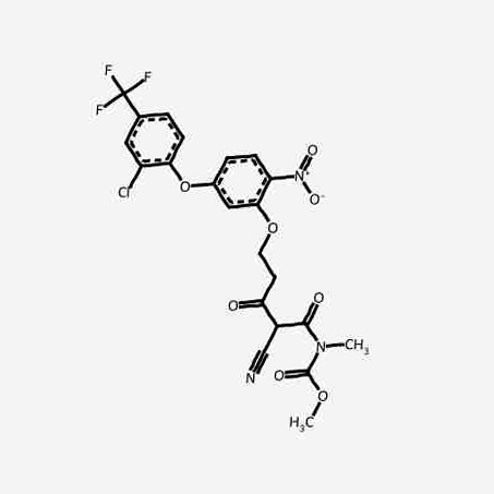 COC(=O)N(C)C(=O)C(C#N)C(=O)CCOc1cc(Oc2ccc(C(F)(F)F)cc2Cl)ccc1[N+](=O)[O-]